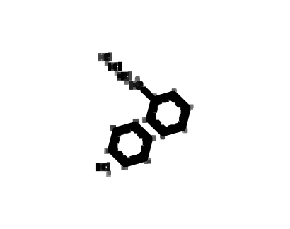 Cl.Cl.Cl.Cl.Oc1ccccc1.c1ccccc1